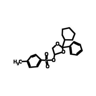 Cc1ccc(S(=O)(=O)OC2COC(c3ccccc3)(C3CCCCC3)O2)cc1